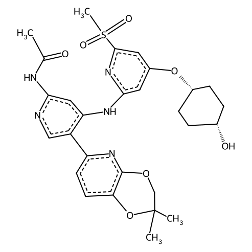 CC(=O)Nc1cc(Nc2cc(O[C@H]3CC[C@@H](O)CC3)cc(S(C)(=O)=O)n2)c(-c2ccc3c(n2)OCC(C)(C)O3)cn1